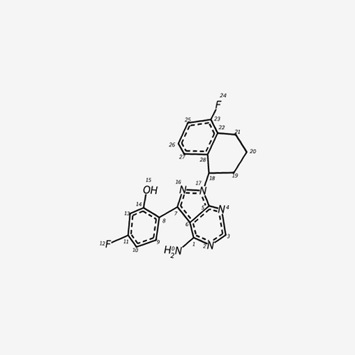 Nc1ncnc2c1c(-c1ccc(F)cc1O)nn2C1CCCc2c(F)cccc21